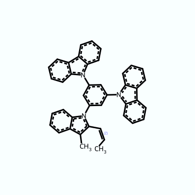 C/C=C\c1c(C)c2ccccc2n1-c1cc(-n2c3ccccc3c3ccccc32)cc(-n2c3ccccc3c3ccccc32)c1